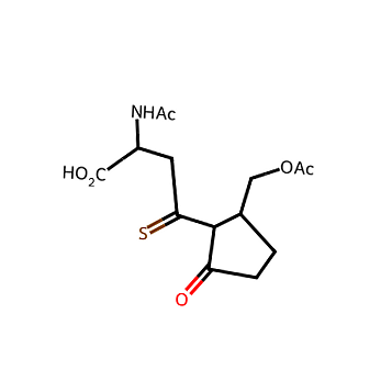 CC(=O)NC(CC(=S)C1C(=O)CCC1COC(C)=O)C(=O)O